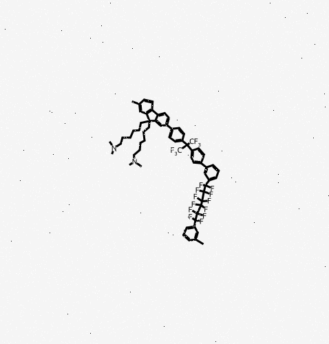 Cc1cccc(C(F)(F)C(F)(F)C(F)(F)C(F)(F)C(F)(F)C(F)(F)c2cccc(-c3ccc(C(c4ccc(-c5ccc6c(c5)C(CCCCCCN(C)C)(CCCCCCN(C)C)c5cc(C)ccc5-6)cc4)(C(F)(F)F)C(F)(F)F)cc3)c2)c1